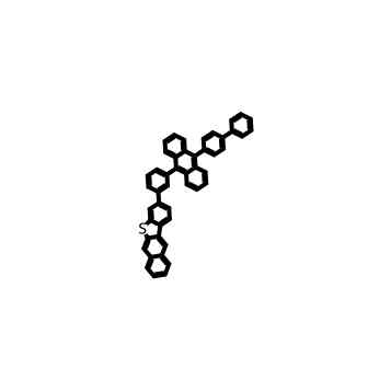 c1ccc(-c2ccc(-c3c4ccccc4c(-c4cccc(-c5ccc6c(c5)sc5cc7ccccc7cc56)c4)c4ccccc34)cc2)cc1